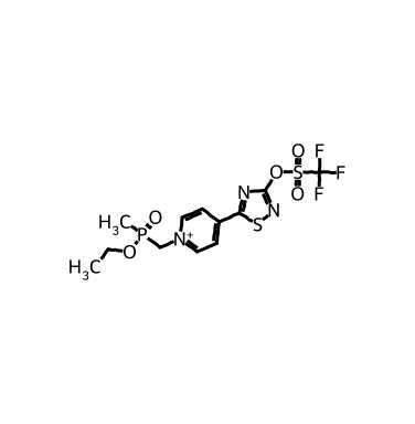 CCOP(C)(=O)C[n+]1ccc(-c2nc(OS(=O)(=O)C(F)(F)F)ns2)cc1